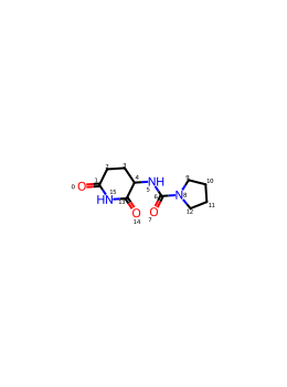 O=C1CCC(NC(=O)N2CCCC2)C(=O)N1